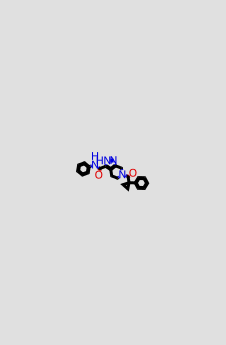 O=C(Nc1ccccc1)c1[nH]nc2c1CCN(C(=O)C1(c3ccccc3)CC1)C2